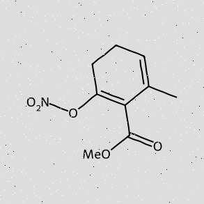 COC(=O)C1=C(O[N+](=O)[O-])CCC=C1C